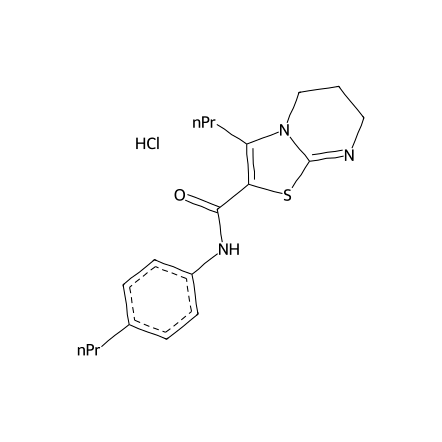 CCCC1=C(C(=O)Nc2ccc(CCC)cc2)SC2=NCCCN21.Cl